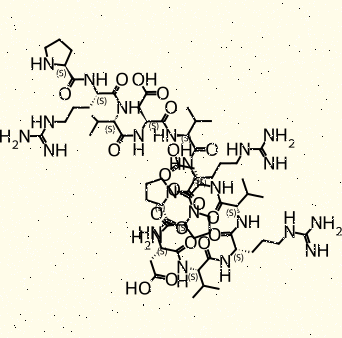 CC(C)[C@H](NC(=O)[C@H](CC(=O)O)NC(=O)[C@@H]1CCCN1C(=O)[C@H](CCCNC(=N)N)NC(=O)[C@@H](NC(=O)[C@H](CC(=O)O)NC(=O)[C@@H](NC(=O)[C@H](CCCNC(=N)N)NC(=O)[C@@H]1CCCN1)C(C)C)C(C)C)C(=O)N[C@@H](CCCNC(=N)N)C(=O)N[C@H](C(=O)N[C@@H](CC(=O)O)C(=O)N1CCC[C@H]1C(N)=O)C(C)C